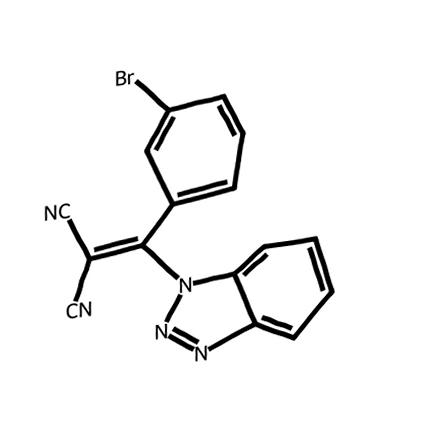 N#CC(C#N)=C(c1cccc(Br)c1)n1nnc2ccccc21